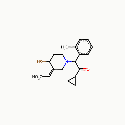 Cc1ccccc1C(C(=O)C1CC1)N1CCC(S)/C(=C\C(=O)O)C1